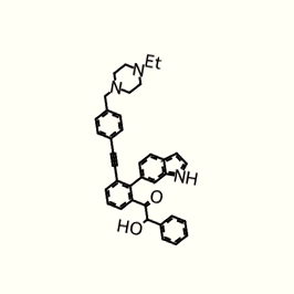 CCN1CCN(Cc2ccc(C#Cc3cccc(C(=O)C(O)c4ccccc4)c3-c3ccc4cc[nH]c4c3)cc2)CC1